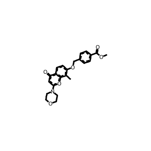 COC(=O)c1ccc(COc2ccc3c(=O)cc(N4CCOCC4)oc3c2C)cc1